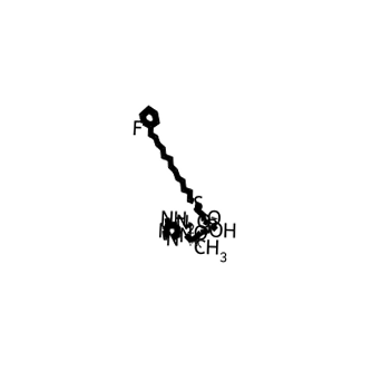 C[C@H](Cn1cnc2c(N)ncnc21)OCP(=O)(O)OCCSCCCCCCCCCCCCCc1ccccc1F